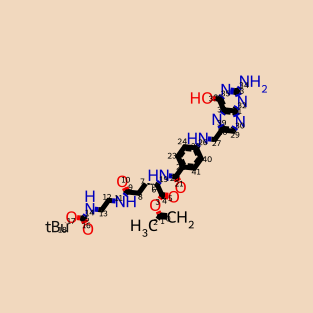 C=C(C)OC(=O)[C@H](CCC(=O)NCCNC(=O)OC(C)(C)C)NC(=O)c1ccc(NCc2cnc3nc(N)nc(O)c3n2)cc1